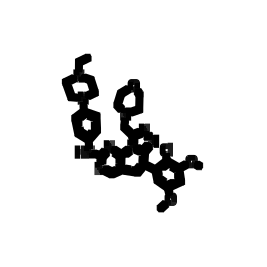 CCN1CCN(c2ccc(Nc3ncc4cc(-c5cc(OC)cc(OC)c5Cl)c5nnc(CN6CCOCC6)n5c4n3)cc2)CC1